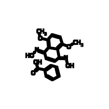 COc1ccc(OC)c2c1C(=NO)C=CC2=NO.O=C(O)c1ccccc1